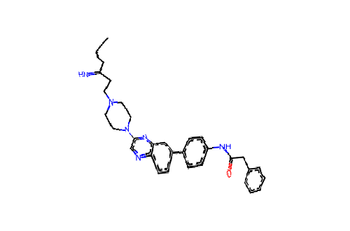 CCCC(=N)CCN1CCN(c2cnc3ccc(-c4ccc(NC(=O)Cc5ccccc5)cc4)cc3n2)CC1